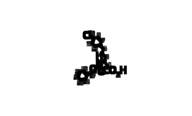 O=C(O)C[C@H](CCCc1ccc(Cl)cc1)NC(=O)OCc1ccccc1